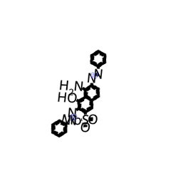 Nc1c(/N=N/c2ccccc2)ccc2cc([S](=O)(=O)[Mo])c(/N=N/c3ccccc3)c(O)c12